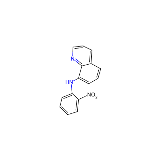 O=[N+]([O-])c1ccccc1Nc1cccc2cccnc12